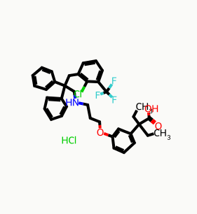 CCC(CC)(C(=O)O)c1cccc(OCCCNCC(Cc2cccc(C(F)(F)F)c2Cl)(c2ccccc2)c2ccccc2)c1.Cl